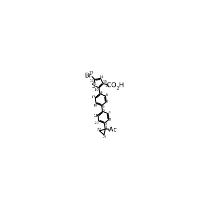 CC(=O)C1(c2ccc(-c3ccc(-c4sc(Br)cc4C(=O)O)cc3)cc2)CC1